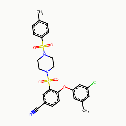 Cc1ccc(S(=O)(=O)N2CCN(S(=O)(=O)c3cc(C#N)ccc3Oc3cc(C)cc(Cl)c3)CC2)cc1